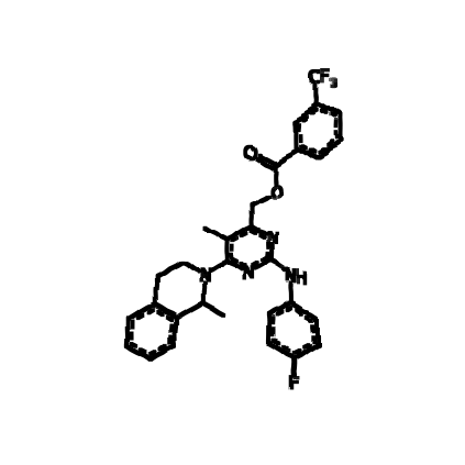 Cc1c(COC(=O)c2cccc(C(F)(F)F)c2)nc(Nc2ccc(F)cc2)nc1N1CCc2ccccc2C1C